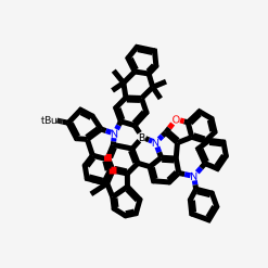 CC(C)(C)c1ccc(N2c3cc4c(cc3B3c5c2cc2c(c5-c5ccc(N(c6ccccc6)c6ccccc6)c6c7c8ccccc8oc7n3c56)-c3ccccc3C2(C)C)C(C)(C)c2ccccc2C4(C)C)c(-c2ccccc2)c1